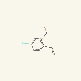 C=Cc1ccc(F)cc1CBr